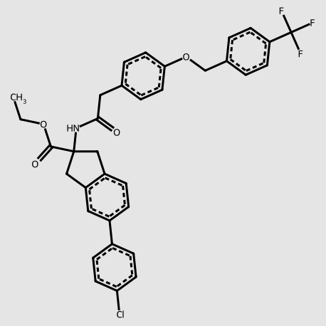 CCOC(=O)C1(NC(=O)Cc2ccc(OCc3ccc(C(F)(F)F)cc3)cc2)Cc2ccc(-c3ccc(Cl)cc3)cc2C1